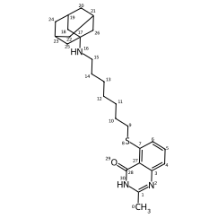 Cc1nc2cccc(SCCCCCCCNC34CC5CC(CC(C5)C3)C4)c2c(=O)[nH]1